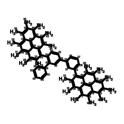 Bc1c(B)c2c(B)c(B)c3c(B)c(B)c(-c4cccc(-c5ccc(-c6c(B)c(B)c7c(B)c(B)c8c(B)c(B)c(B)c9c(B)c(B)c6c7c89)c(-c6ccccc6)c5)c4)c4c(B)c(B)c(c1B)c2c34